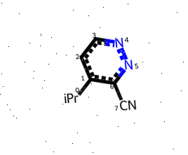 CC(C)c1ccnnc1C#N